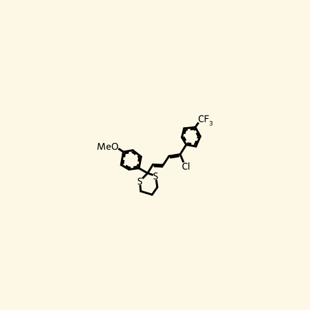 COc1ccc(C2(/C=C/C=C(\Cl)c3ccc(C(F)(F)F)cc3)SCCCS2)cc1